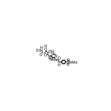 CCNC(=O)[C@H]1O[C@@H](n2cnc3c(NC(=O)Nc4ccc(S(=O)(=O)NC)cc4)ncnc32)[C@@H](O)C1O